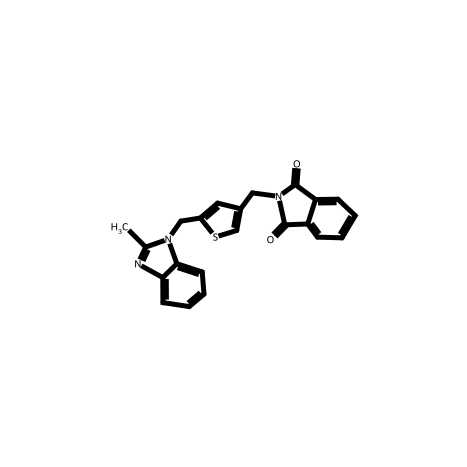 Cc1nc2ccccc2n1Cc1cc(CN2C(=O)c3ccccc3C2=O)cs1